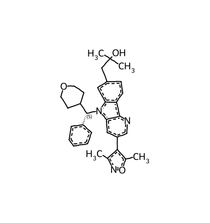 Cc1noc(C)c1-c1cnc2c3ccc(CC(C)(C)O)cc3n([C@H](c3ccccc3)C3CCOCC3)c2c1